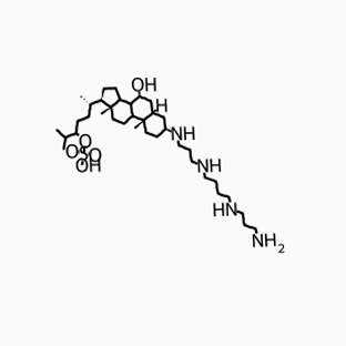 CC(C)C(CC[C@H](C)[C@H]1CCC2C3C(CC[C@@]21C)[C@@]1(C)CC[C@H](NCCCNCCCCNCCCN)C[C@H]1C[C@@H]3O)OS(=O)(=O)O